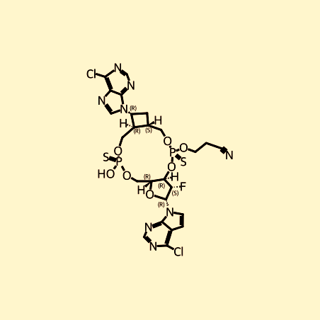 N#CCCOP1(=S)OC[C@H]2C[C@@H](n3cnc4c(Cl)ncnc43)[C@@H]2COP(O)(=S)OC[C@H]2O[C@@H](n3ccc4c(Cl)ncnc43)[C@@H](F)[C@@H]2O1